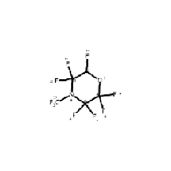 FC1OC(F)(F)C(F)(F)N(C(F)(F)F)C1(F)F